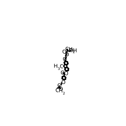 C=CC(=O)OCCOc1ccc(C(=O)Oc2ccc3c(c2)C(C)c2cc(OCCOC(=O)C(=C)CO)ccc2-3)cc1